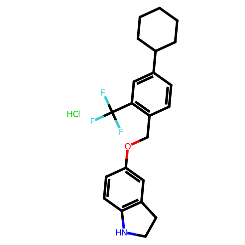 Cl.FC(F)(F)c1cc(C2CCCCC2)ccc1COc1ccc2c(c1)CCN2